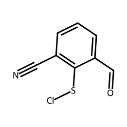 N#Cc1cccc(C=O)c1SCl